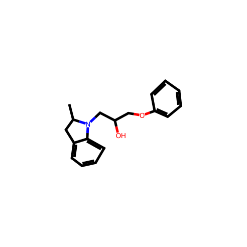 CC1Cc2ccccc2N1CC(O)COc1ccccc1